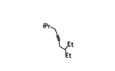 [CH2]C(C)CC#CCC(CC)CC